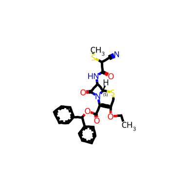 CCOC1=C(C(=O)OC(c2ccccc2)c2ccccc2)N2C(=O)C(NC(=O)C(C#N)SC)[C@@H]2SC1